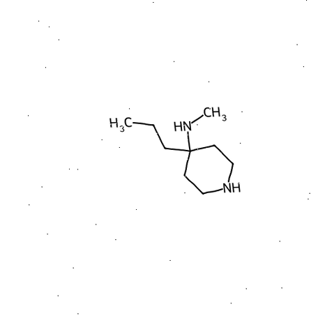 CCCC1(NC)CCNCC1